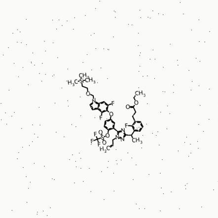 C=CCn1nc(C(C)c2cccc(CCC(=O)OCC)c2F)nc1-c1cc(Oc2c(F)cc3c(ccn3COCC[Si](C)(C)C)c2F)ccc1OS(=O)(=O)C(F)(F)F